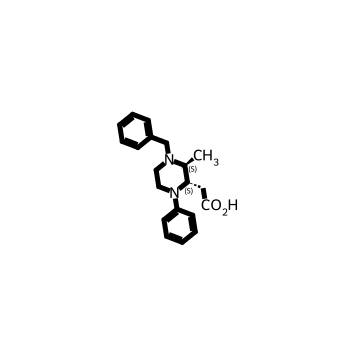 C[C@H]1[C@H](CC(=O)O)N(c2ccccc2)CCN1Cc1ccccc1